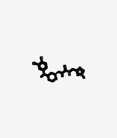 CC(c1ccc(Cl)c(Cl)c1)N1CCO[C@@H](CNC(=O)NCc2nnn(C)n2)C1